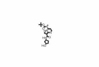 CN(C(=O)OC(C)(C)C)c1ccnc2c(C(=O)NC3CC[C@H](O)C3)cnn12